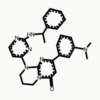 CC(Nc1nccc(N2CCCn3c2nc(-c2cccc(N(C)C)c2)cc3=O)n1)c1ccccc1